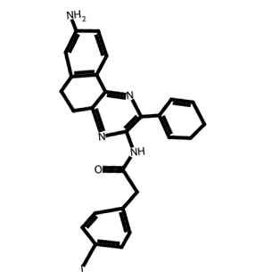 Nc1ccc2c(c1)CCc1nc(NC(=O)Cc3ccc(I)cc3)c(C3=CCCC=C3)nc1-2